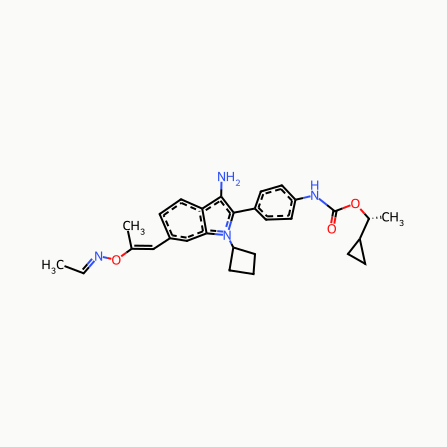 C/C=N/O/C(C)=C/c1ccc2c(N)c(-c3ccc(NC(=O)O[C@H](C)C4CC4)cc3)n(C3CCC3)c2c1